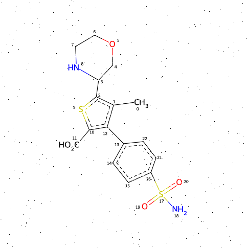 Cc1c(C2COCCN2)sc(C(=O)O)c1-c1ccc(S(N)(=O)=O)cc1